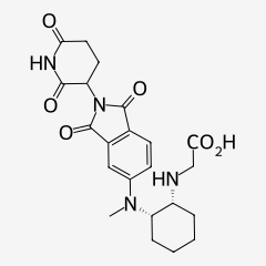 CN(c1ccc2c(c1)C(=O)N(C1CCC(=O)NC1=O)C2=O)[C@H]1CCCC[C@H]1NCC(=O)O